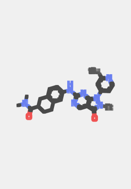 CCn1c(=O)c2cnc(Nc3ccc4c(c3)CCC(C(=O)N(C)C)C4)nc2n1-c1ccnc(C(C)(C)C)c1